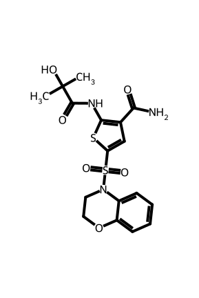 CC(C)(O)C(=O)Nc1sc(S(=O)(=O)N2CCOc3ccccc32)cc1C(N)=O